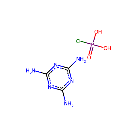 Nc1nc(N)nc(N)n1.O=P(O)(O)Cl